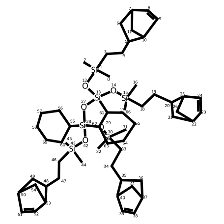 C[Si](C)(CCC1CC2C=CC1C2)O[Si](O[Si](C)(C)CCC1CC2C=CC1C2)(O[Si](O[Si](C)(C)CCC1CC2C=CC1C2)(O[Si](C)(C)CCC1CC2C=CC1C2)C1CCCCC1)C1CCCCC1